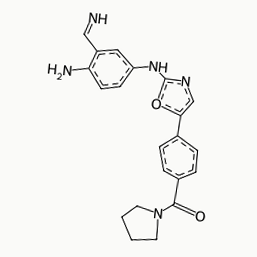 N=Cc1cc(Nc2ncc(-c3ccc(C(=O)N4CCCC4)cc3)o2)ccc1N